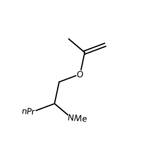 C=C(C)OCC(CCC)NC